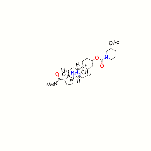 CNC(=O)C1CC[C@@]2(N)[C@@H]3CCC4CC(OC(=O)N5CCCC(OC(C)=O)C5)CC[C@]4(C)[C@@H]3CC[C@]12C